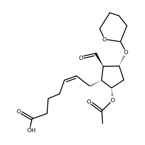 CC(=O)O[C@H]1C[C@@H](OC2CCCCO2)[C@H](C=O)[C@H]1C/C=C\CCCC(=O)O